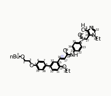 CCCCOCCOc1ccc(-c2ccc(OCC)c(/C=C/C(=O)Nc3ccc([S@@+]([O-])Cc4c(C)ncn4CC)cc3)c2)cc1